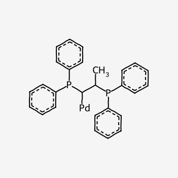 CC([CH]([Pd])P(c1ccccc1)c1ccccc1)P(c1ccccc1)c1ccccc1